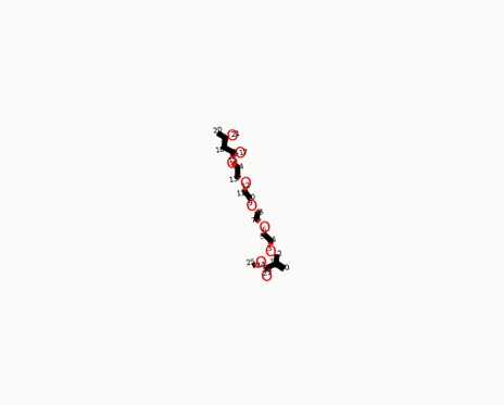 C=C(COCCOCCOCCOCCOC(=O)CC(C)=O)C(=O)OC